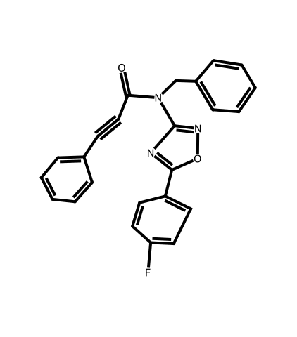 O=C(C#Cc1ccccc1)N(Cc1ccccc1)c1noc(-c2ccc(F)cc2)n1